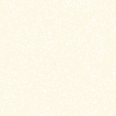 CCN(CC(C)C)c1cccc(C)c1